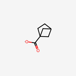 [O]C(=O)C12CCC(C1)C2